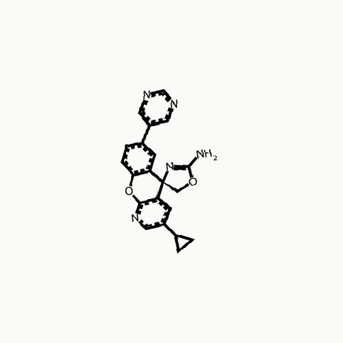 NC1=N[C@@]2(CO1)c1cc(-c3cncnc3)ccc1Oc1ncc(C3CC3)cc12